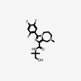 CN1CCCn2c(-c3cc(F)c(F)cc3F)nc(C(=O)NC(C)(C)CO)c2C1